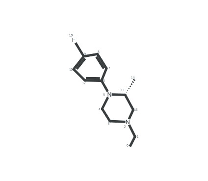 CCN1CCN(c2ccc(F)cc2)[C@H](C)C1